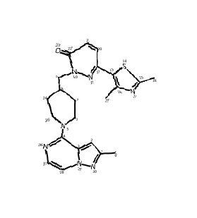 Cc1cc2c(N3CCC(Cn4nc(-c5sc(C)nc5C)ccc4=O)CC3)nccn2n1